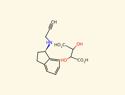 C#CCN[C@@H]1CCc2ccccc21.O=C(O)C(O)C(O)C(=O)O